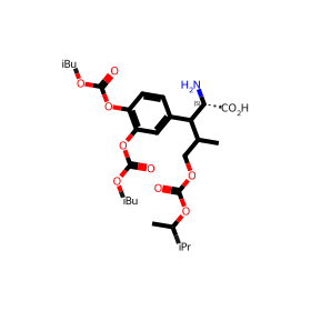 CCC(C)OC(=O)Oc1ccc(C(C(C)COC(=O)OC(C)C(C)C)[C@H](N)C(=O)O)cc1OC(=O)OC(C)CC